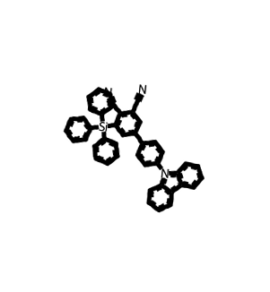 N#Cc1cc(-c2ccc(-n3c4ccccc4c4ccccc43)cc2)cc([Si](c2ccccc2)(c2ccccc2)c2ccccc2)c1C#N